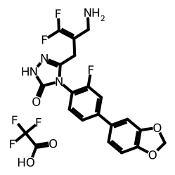 NCC(Cc1n[nH]c(=O)n1-c1ccc(-c2ccc3c(c2)OCO3)cc1F)=C(F)F.O=C(O)C(F)(F)F